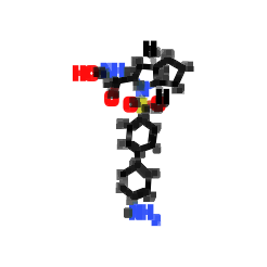 Nc1ccc(-c2ccc(S(=O)(=O)N3C(C(=O)NO)C[C@H]4CCC[C@H]43)cc2)cc1